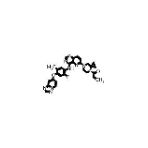 C=CC(=O)N1CCN(c2ccc3ncnc(Nc4cc(C)c(Oc5ccn6ncnc6c5)cc4F)c3n2)CC12CC2